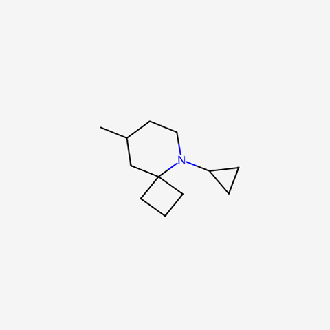 CC1CCN(C2CC2)C2(CCC2)C1